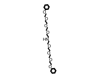 c1ccc(OCCOCCOCCOCCNCCOCCOCCOCCOc2ccccc2)cc1